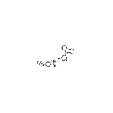 [O-][S+](NCCCC[C@H](CO)N1C2=CCCC=C2C2C=CC=CC21)c1ccc(OC(F)(F)F)cc1